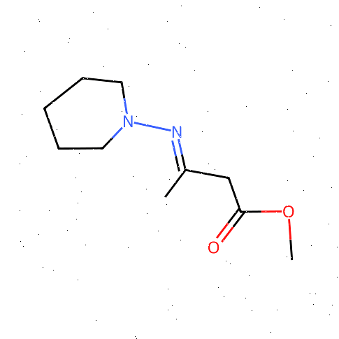 COC(=O)C/C(C)=N/N1CCCCC1